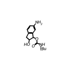 CC(C)(C)NC(=O)OC1c2cc(N)ccc2CC1O